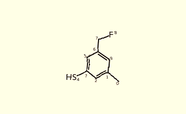 Cc1cc(S)cc(CF)c1